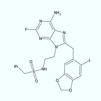 CC(C)CS(=O)(=O)NCCn1c(Cc2cc3c(cc2I)OCO3)nc2c(N)nc(F)nc21